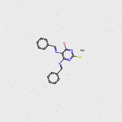 [Na+].[O-]c1nc(S)nc(N=Cc2ccccc2)c1N=Cc1ccccc1